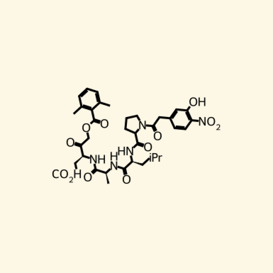 Cc1cccc(C)c1C(=O)OCC(=O)[C@H](CC(=O)O)NC(=O)[C@H](C)NC(=O)[C@H](CC(C)C)NC(=O)C1CCCN1C(=O)Cc1ccc([N+](=O)[O-])c(O)c1